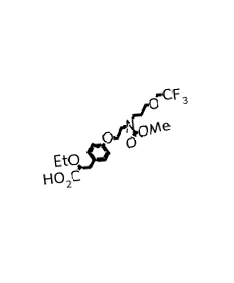 CCOC(Cc1ccc(OCCN(CCCOCC(F)(F)F)C(=O)OC)cc1)C(=O)O